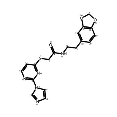 O=C(CSc1ccnc(-n2ccnc2)n1)NCCc1ccc2c(c1)OCO2